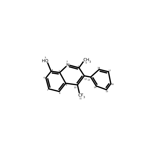 Cc1nc2c(O)cccc2c(C(F)(F)F)c1-c1ccccc1